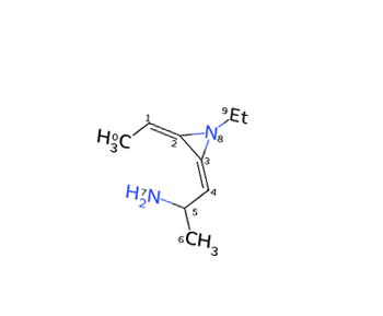 C/C=C1\C(=C/C(C)N)N1CC